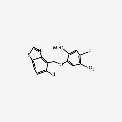 COc1cc(F)c([N+](=O)[O-])cc1OCc1c(Cl)ccc2scnc12